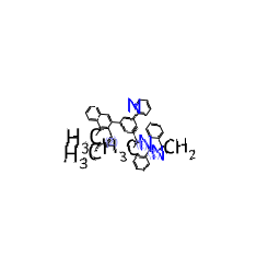 C=C(/N=C(\N=C(/C)c1cc(-c2ccccn2)cc(-c2cc3ccccc3c(C)c2/C=C\CC)c1)c1ccccc1)c1ccccc1